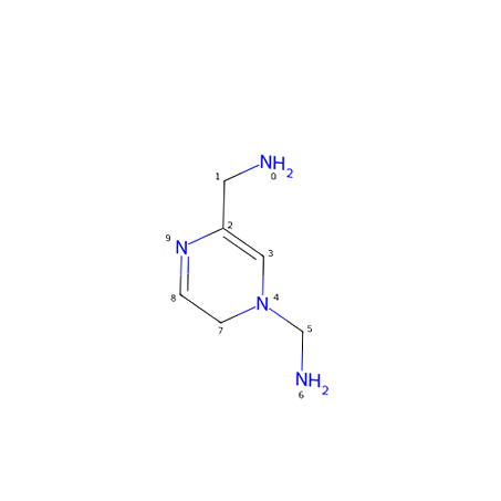 NCC1=CN(CN)CC=N1